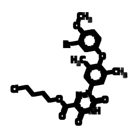 COc1ccc(Oc2c(C)cc(-n3nc(C(=O)OCCCCCl)c(=O)[nH]c3=O)cc2C)cc1Br